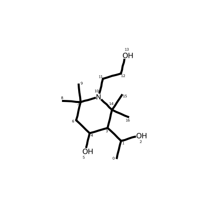 CC(O)C1C(O)CC(C)(C)N(CCO)C1(C)C